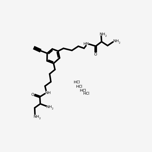 C#Cc1cc(CCCCNC(=O)C(N)CN)cc(CCCCNC(=O)C(N)CN)c1.Cl.Cl.Cl.Cl